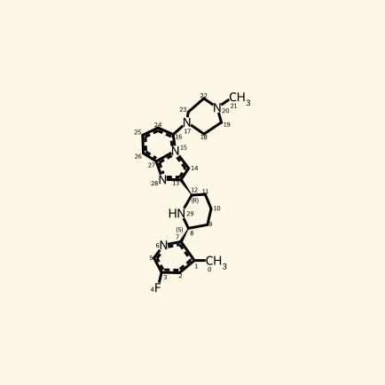 Cc1cc(F)cnc1[C@@H]1CCC[C@H](c2cn3c(N4CCN(C)CC4)cccc3n2)N1